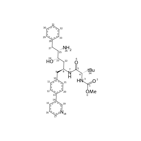 COC(=O)N[C@H](C(=O)N[C@@H](Cc1ccc(-c2cccnc2)cc1)C[C@H](O)[C@@H](N)Cc1ccccc1)C(C)(C)C